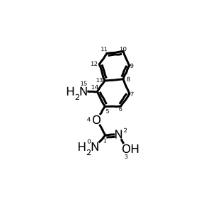 NC(=NO)Oc1ccc2ccccc2c1N